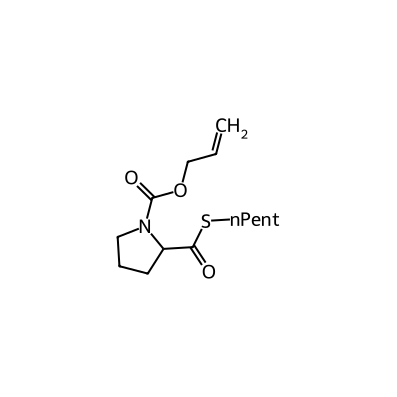 C=CCOC(=O)N1CCCC1C(=O)SCCCCC